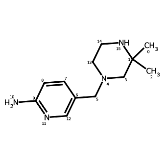 CC1(C)CN(Cc2ccc(N)nc2)CCN1